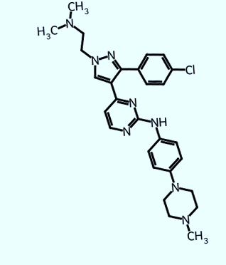 CN(C)CCn1cc(-c2ccnc(Nc3ccc(N4CCN(C)CC4)cc3)n2)c(-c2ccc(Cl)cc2)n1